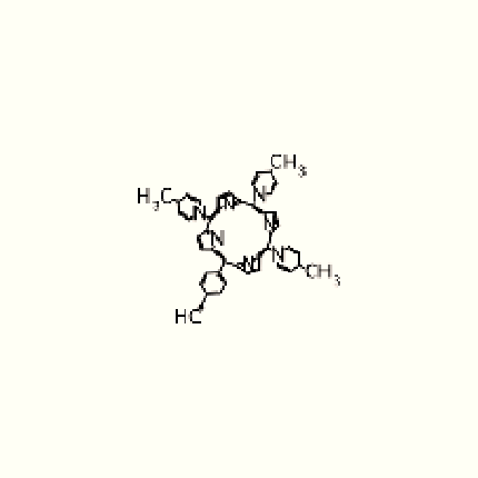 C#Cc1ccc(C2=C3C=CC(=N3)C(N3C=CC(C)C=C3)=C3C=CC(=N3)C(N3C=CC(C)C=C3)=C3C=CC(=N3)C(N3C=CC(C)C=C3)=C3C=CC2=N3)cc1